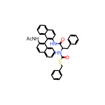 CC(=O)Nc1ccc2ccccc2c1-c1c(NC(=O)C(Cc2ccccc2)NC(=O)SCc2ccccc2)ccc2ccccc12